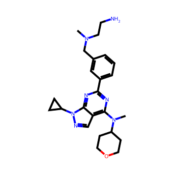 CN(CCN)Cc1cccc(-c2nc(N(C)C3CCOCC3)c3cnn(C4CC4)c3n2)c1